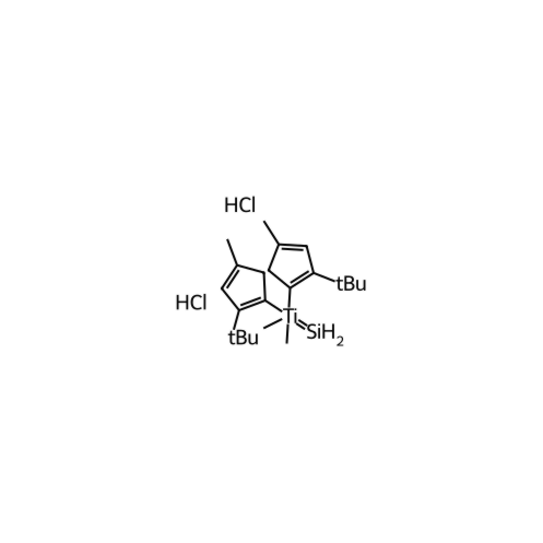 CC1=CC(C(C)(C)C)=[C]([Ti]([CH3])([CH3])(=[SiH2])[C]2=C(C(C)(C)C)C=C(C)C2)C1.Cl.Cl